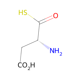 N[C@H](CC(=O)O)C(=O)S